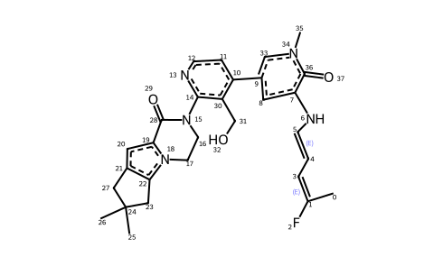 C/C(F)=C\C=C\Nc1cc(-c2ccnc(N3CCn4c(cc5c4CC(C)(C)C5)C3=O)c2CO)cn(C)c1=O